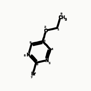 CCOc1cnc(Br)nc1